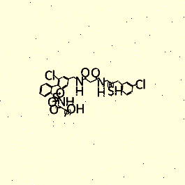 C[C@H](O)C(=O)NS(=O)(=O)c1ccccc1-c1ccc(CNC(=O)CC(=O)NC[C@H](S)Cc2cccc(Cl)c2)cc1Cl